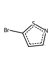 Brc1c[c]ns1